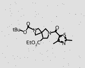 CCOC(=O)C1CN(C(=O)c2sc(C)nc2C)CC12CN(C(=O)OC(C)(C)C)C2